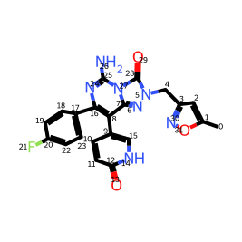 Cc1cc(Cn2nc3c(-c4ccc(=O)[nH]c4)c(-c4ccc(F)cc4)nc(N)n3c2=O)no1